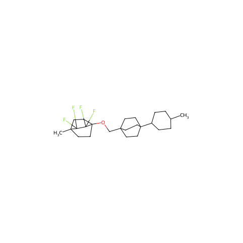 CC1CCC(C23CCC(COC45CCC(C)(CC4)C(F)(F)C5(F)F)(CC2)CC3)CC1